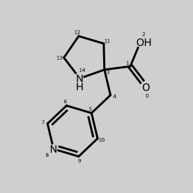 O=C(O)C1(Cc2ccncc2)CCCN1